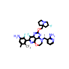 Cc1cc(N)c(F)c(-c2nc3c4c(nc(OCC56CCCN5C[C@H](F)C6)nc4c2F)N([C@H](C)c2cccnc2N)CCO3)c1C(F)(F)F